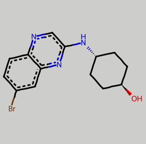 O[C@H]1CC[C@H](Nc2cnc3ccc(Br)cc3n2)CC1